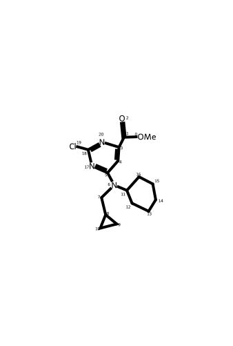 COC(=O)c1cc(N(CC2CC2)C2CCCCC2)nc(Cl)n1